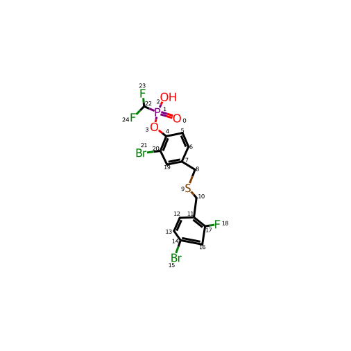 O=P(O)(Oc1ccc(CSCc2ccc(Br)cc2F)cc1Br)C(F)F